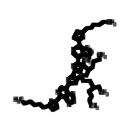 CCCCCCc1ccc(-c2ncc(-c3cc4c(s3)-c3sc(-c5cnc(-c6ccc(CCCCCC)s6)c6nsnc56)cc3S4(CCC(CC)CCCC)CC(CC)CCCC)c3nsnc23)s1